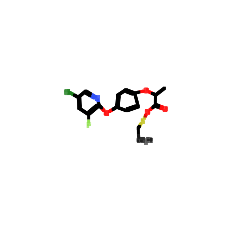 CCOC(=O)CSOC(=O)C(C)Oc1ccc(Oc2ncc(Cl)cc2F)cc1